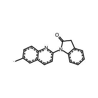 [CH2]c1ccc2nc(N3C(=O)Cc4ccccc43)ccc2c1